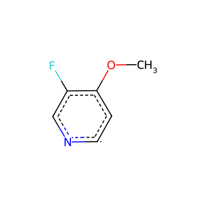 COc1c[c]ncc1F